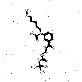 COCCCCCN(C(=O)O)c1cccc(C(=O)CCNC(=O)OC(C)(C)C)c1